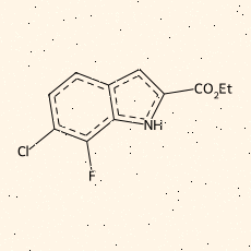 CCOC(=O)c1cc2ccc(Cl)c(F)c2[nH]1